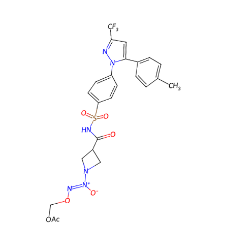 CC(=O)OCON=[N+]([O-])N1CC(C(=O)NS(=O)(=O)c2ccc(-n3nc(C(F)(F)F)cc3-c3ccc(C)cc3)cc2)C1